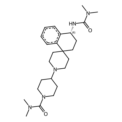 CN(C)C(=O)N[C@@H]1CCC2(CCN(C3CCN(C(=O)N(C)C)CC3)CC2)c2ccccc21